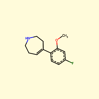 COc1cc(F)ccc1C1=CCCNCC1